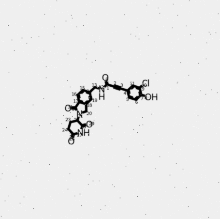 O=C(C#Cc1ccc(O)c(Cl)c1)NCc1ccc2c(c1)CN(C1CCC(=O)NC1=O)C2=O